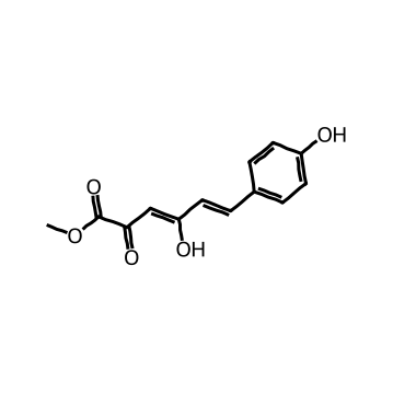 COC(=O)C(=O)/C=C(O)/C=C/c1ccc(O)cc1